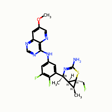 COc1cnc2c(Nc3cc(F)c(F)c([C@@]4(C)N=C(N)S[C@]5(CF)[C@H]4[C@@H]5C)c3)ncnc2c1